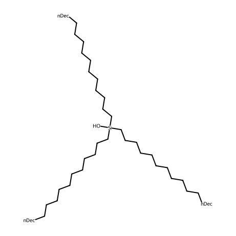 CCCCCCCCCCCCCCCCCCCCC[Si](O)(CCCCCCCCCCCCCCCCCCCCC)CCCCCCCCCCCCCCCCCCCCC